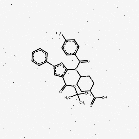 Cc1ccc(C(=O)N(c2sc(-c3ccccc3)cc2C(=O)OC(C)(C)C)C2CCC(C(=O)O)CC2)cc1